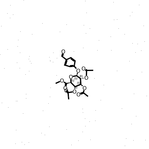 COC(=O)[C@H]1O[C@@H](Oc2ccc(C=O)cc2)[C@H](OC(C)=O)[C@@H](OC(C)=O)[C@@H]1OC(C)=O